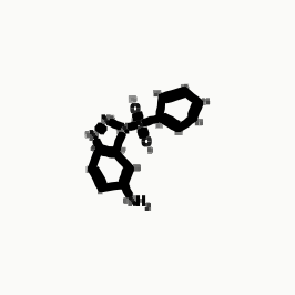 Nc1ccc2nnn(S(=O)(=O)c3ccccc3)c2c1